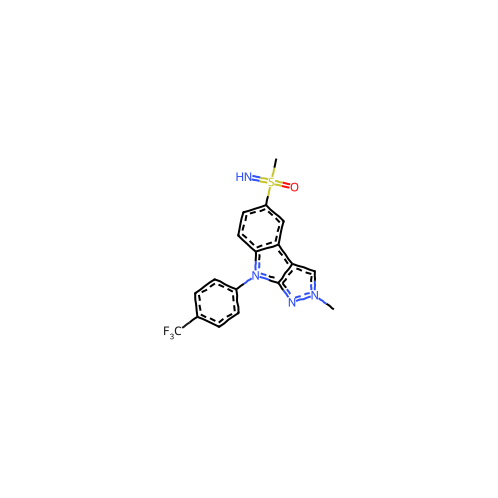 Cn1cc2c3cc(S(C)(=N)=O)ccc3n(-c3ccc(C(F)(F)F)cc3)c2n1